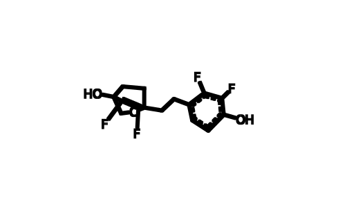 Oc1ccc(CCC23CCC(O)(CC2)C(F)=C3F)c(F)c1F